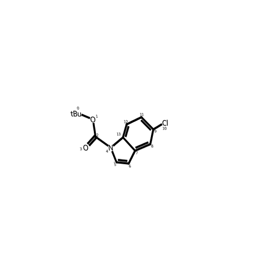 CC(C)(C)OC(=O)n1[c]cc2cc(Cl)ccc21